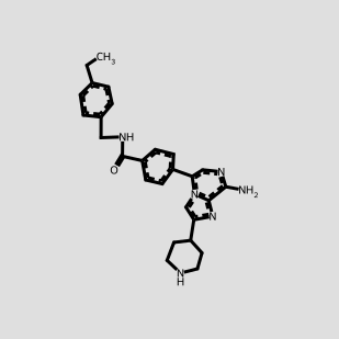 CCc1ccc(CNC(=O)c2ccc(-c3cnc(N)c4nc(C5CCNCC5)cn34)cc2)cc1